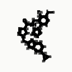 CCc1ccc(-n2cnnn2)c(CNC(=O)C2CN(Cc3cn4cc(C5CC5)ccc4n3)N=N2)c1F